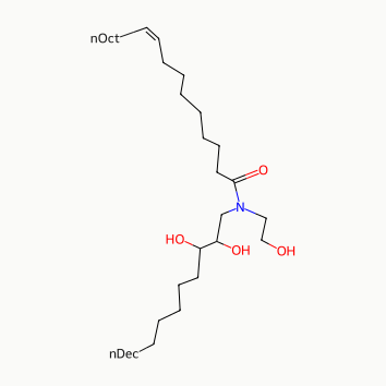 CCCCCCCC/C=C\CCCCCCCC(=O)N(CCO)CC(O)C(O)CCCCCCCCCCCCCCC